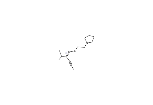 CC#C/C(=N\OCCN1CCCC1)C(C)C